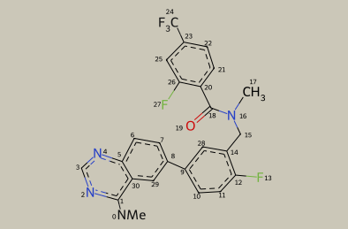 CNc1ncnc2ccc(-c3ccc(F)c(CN(C)C(=O)c4ccc(C(F)(F)F)cc4F)c3)cc12